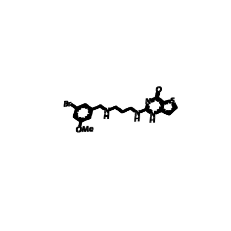 COc1cc(Br)cc(CNCCCNc2nc(=O)c3sccc3[nH]2)c1